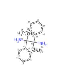 Cc1ccccc1C(C)(N)C(C)(N)c1ccccc1C